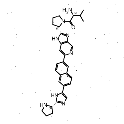 CC(C)[C@H](N)C(=O)N1CCC[C@H]1c1nc2cnc(-c3ccc4cc(-c5cnc([C@@H]6CCCN6)[nH]5)ccc4c3)cc2[nH]1